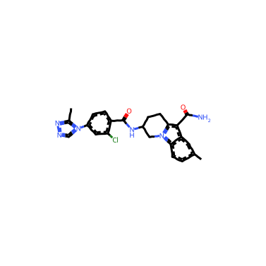 Cc1ccc2c(c1)c(C(N)=O)c1n2CC(NC(=O)c2ccc(-n3cnnc3C)cc2Cl)CC1